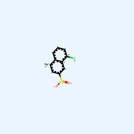 O=S([O-])c1ccc2cccc(Cl)c2c1.[Na+]